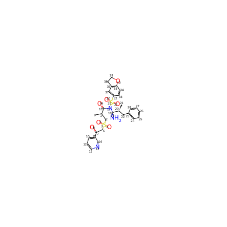 CC(CS(=O)(=O)CC(=O)c1cccnc1)C(=O)N([C@H](N)[C@@H](C)Cc1ccccc1)S(=O)(=O)c1ccc2c(c1)CCO2